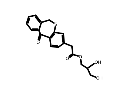 O=C(Cc1ccc2c(c1)SCc1ccccc1C2=O)OCC(O)CO